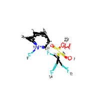 F[n+]1ccccc1.O=S(=O)(O)C(F)(F)F